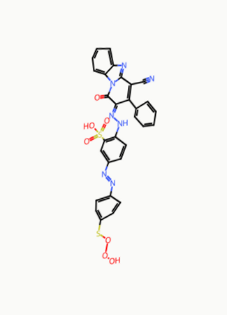 N#CC1=C(c2ccccc2)/C(=N\Nc2ccc(N=Nc3ccc(SOOO)cc3)cc2S(=O)(=O)O)C(=O)n2c1nc1ccccc12